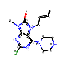 CC=CCn1c(=O)n(C)c2nc(Cl)nc(N3CCNCC3)c21